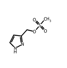 CS(=O)(=O)OCc1cc[nH]n1